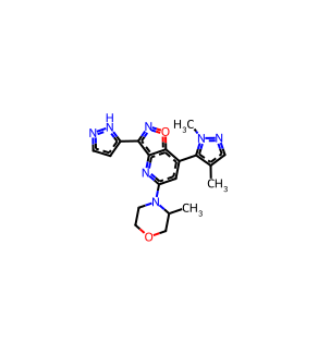 Cc1cnn(C)c1-c1cc(N2CCOCC2C)nc2c(-c3ccn[nH]3)noc12